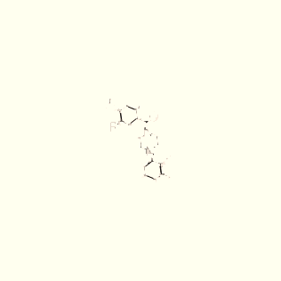 COc1ccc(C(=O)N2CCN(c3cccc(C)c3C)CC2)cc1F